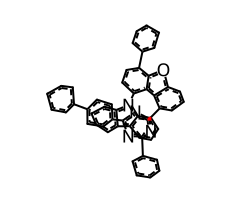 c1ccc(-c2ccc(-c3nc(-c4ccccc4)nc(-c4cccc5oc6c(-c7ccccc7)ccc(-n7c8ccccc8c8ccccc87)c6c45)n3)cc2)cc1